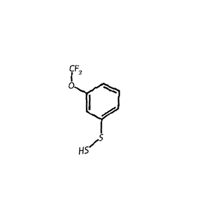 FC(F)(F)Oc1cccc(SS)c1